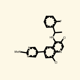 CNc1ncc(-c2cc(Cl)c3ncc(Cl)c(NC(C)c4ccccc4F)c3c2)cn1